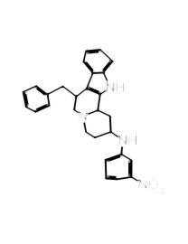 O=[N+]([O-])c1cccc(NC2CCN3CC(Cc4ccccc4)c4c([nH]c5ccccc45)C3C2)c1